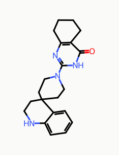 O=c1[nH]c(N2CCC3(CCNc4ccccc43)CC2)nc2c1CCCC2